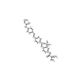 C=CC(=O)Oc1ccc(/C=C/c2ccc(/C=C/c3ccc(OC(=O)C(=C)C)cc3C(F)(F)F)cc2)cc1